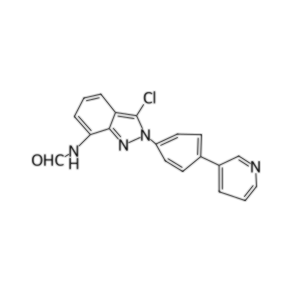 O=CNc1cccc2c(Cl)n(-c3ccc(-c4cccnc4)cc3)nc12